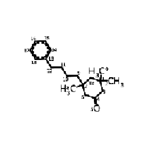 CC1(C)CC(=O)CC(C)(CCCCc2ccccc2)C1